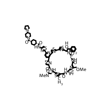 CNC(=O)C[C@@H]1NC(=O)c2csc(n2)-c2ccc(-c3nc(NC(=O)[C@H]4CC[C@H](C(=O)N5CCC(N6CCCC6)CC5)CC4)cs3)nc2-c2csc(n2)-c2csc(n2)[C@H]([C@@H](O)c2ccccc2)N(N)C(=O)CNC(=O)c2nc(sc2COC)[C@H](C(C)C)NC(=O)c2nc1sc2C